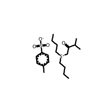 CCCC[S+](CCCC)CC(=O)C(C)C.Cc1ccc(S(=O)(=O)[O-])cc1